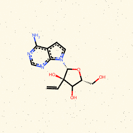 C=C[C@@]1(O)C(O)[C@@H](CO)O[C@H]1n1ccc2c(N)ncnc21